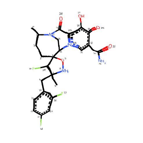 CC1CCC2(ONC(C)(Cc3ccc(F)cc3F)C2F)C2CN1C(=O)c1c(O)c(=O)c(C(N)=O)cn12